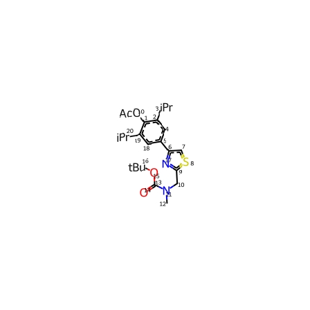 CC(=O)Oc1c(C(C)C)cc(-c2csc(CN(C)C(=O)OC(C)(C)C)n2)cc1C(C)C